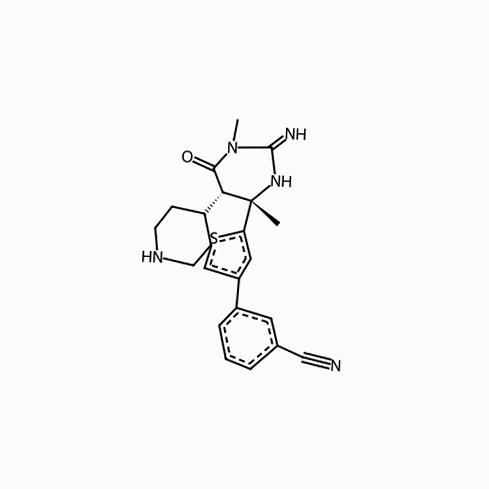 CN1C(=N)N[C@](C)(c2cc(-c3cccc(C#N)c3)cs2)[C@H](C2CCNCC2)C1=O